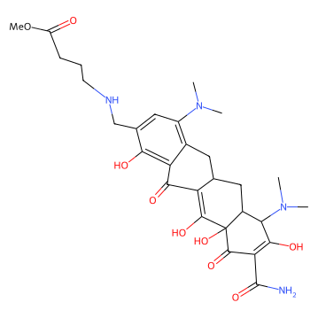 COC(=O)CCCNCc1cc(N(C)C)c2c(c1O)C(=O)C1=C(O)C3(O)C(=O)C(C(N)=O)=C(O)C(N(C)C)C3CC1C2